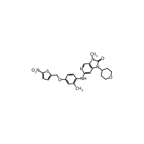 Cc1cc(OCc2ccc([N+](=O)[O-])s2)ccc1Nc1cc2c(cn1)n(C)c(=O)n2C1CCOCC1